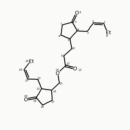 CC/C=C\CC1C(=O)CCC1CCC(=O)OCC1CCC(=O)C1C/C=C\CC